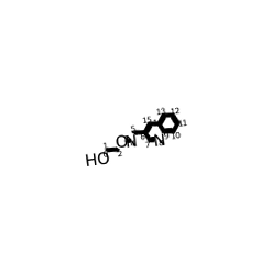 OCCO/N=C/c1cnc2ccccc2c1